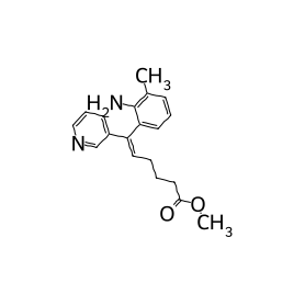 COC(=O)CCCC=C(c1cccnc1)c1cccc(C)c1N